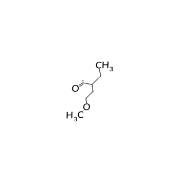 CCC([C]=O)CCOC